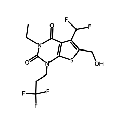 CCn1c(=O)c2c(C(F)F)c(CO)sc2n(CCC(F)(F)F)c1=O